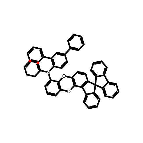 C1=CCCC(N(c2ccc(-c3ccccc3)cc2-c2ccccc2)c2cccc3c2Oc2ccc4c(c2O3)-c2ccccc2C42c3ccccc3-c3ccccc32)=C1